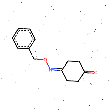 O=C1CCC(=NOCc2ccccc2)CC1